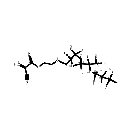 C=C(C#N)C(=O)OCCOCC(F)(OC(F)(F)C(F)(OC(F)(F)C(F)(F)C(F)(F)F)C(F)(F)F)C(F)(F)F